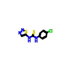 S=C(Nc1ccc(Cl)cc1)Nc1cnns1